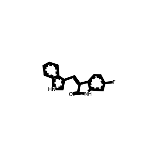 O=C1Nc2cc(F)ccc2/C1=C/c1c[nH]c2ccccc12